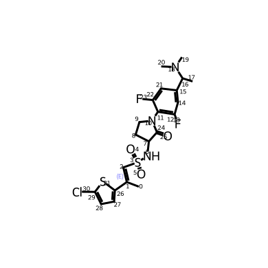 C/C(=C\S(=O)(=O)NC1CCN(c2c(F)cc(C(C)N(C)C)cc2F)C1=O)c1ccc(Cl)s1